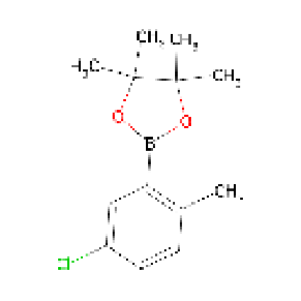 Cc1ccc(Cl)cc1B1OC(C)(C)C(C)(C)O1